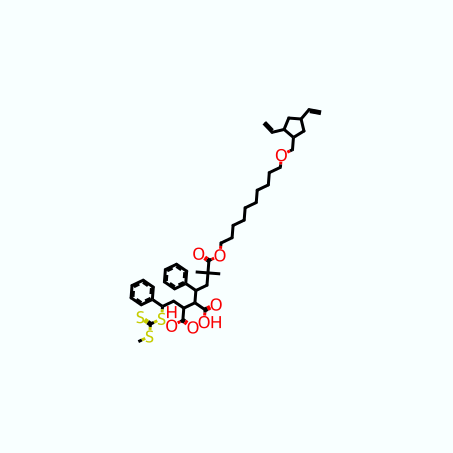 C=CC1CC(C=C)C(COCCCCCCCCCCOC(=O)C(C)(C)CC(c2ccccc2)C(C(=O)O)C(CC(SC(=S)SC)c2ccccc2)C(=O)O)C1